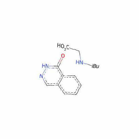 CCC(C)NCC(=O)O.O=c1[nH]ncc2ccccc12